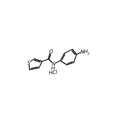 Cl.Nc1ccc(NC(=O)c2ccsc2)cc1